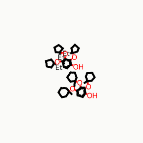 CC1(Oc2ccc(O)c(OC3(C)CCCCC3)c2OC2(C)CCCCC2)CCCCC1.CCC1(Oc2ccc(O)c(OC3(CC)CCCC3)c2OC2(CC)CCCC2)CCCC1